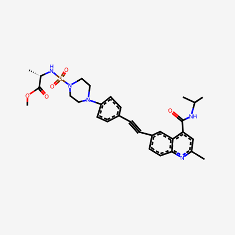 COC(=O)[C@H](C)NS(=O)(=O)N1CCN(c2ccc(C#Cc3ccc4nc(C)cc(C(=O)NC(C)C)c4c3)cc2)CC1